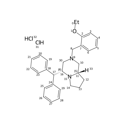 CCOc1ccccc1CN1C[C@@H]2CCCN2[C@H](C(c2ccccc2)c2ccccc2)C1.Cl.Cl